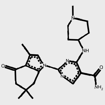 Cc1cn(-c2ncc(C(N)=O)c(NC3CCN(C)CC3)n2)c2c1C(=O)CC(C)(C)C2